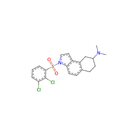 CN(C)C1CCc2ccc3c(ccn3S(=O)(=O)c3cccc(Cl)c3Cl)c2C1